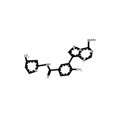 CC(=O)Nc1ncnc2c(-c3cc(C(=O)Nc4cc(C(F)(F)F)ccn4)ccc3C)cnn12